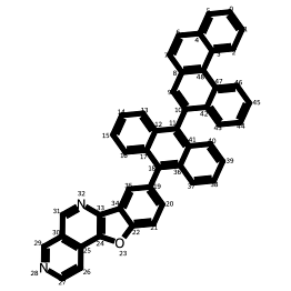 c1ccc2c(c1)ccc1cc(-c3c4ccccc4c(-c4ccc5oc6c7ccncc7cnc6c5c4)c4ccccc34)c3ccccc3c12